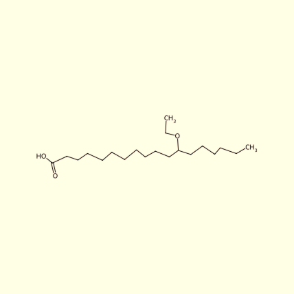 CCCCCCC(CCCCCCCCCCC(=O)O)OCC